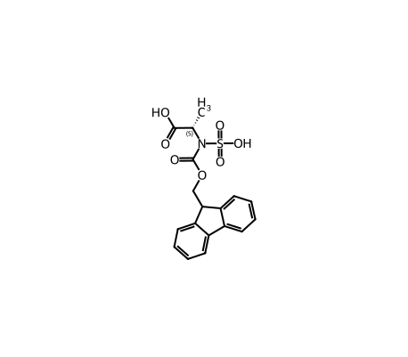 C[C@@H](C(=O)O)N(C(=O)OCC1c2ccccc2-c2ccccc21)S(=O)(=O)O